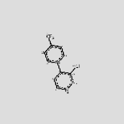 FC(F)(F)c1ccc(-c2ccnnc2Cl)cc1